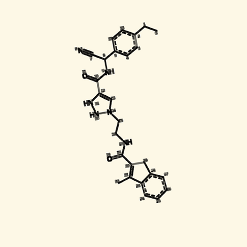 CCc1ccc(C(C#N)NC(=O)C2=CN(CCNC(=O)C3=C(C)c4ccccc4C3)NN2)cc1